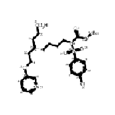 CC(C)(C)OC(=O)N(CCCC[C@H](CCOc1cccnc1)CCC(=O)O)S(=O)(=O)c1ccc(Cl)cc1